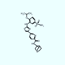 CC(C)Oc1ccc(S(N)(=O)=O)cc1Nc1nc(-c2ccc(C(=O)NC3CN4CCC3CC4)nc2)cs1